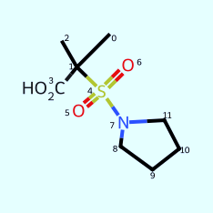 CC(C)(C(=O)O)S(=O)(=O)N1CCCC1